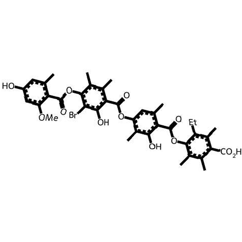 CCc1c(C)c(C(=O)O)c(C)c(C)c1OC(=O)c1c(C)cc(OC(=O)c2c(C)c(C)c(OC(=O)c3c(C)cc(O)cc3OC)c(Br)c2O)c(C)c1O